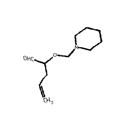 C=CCC(C=O)OCN1CCCCC1